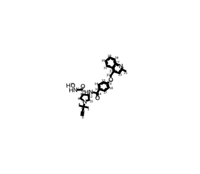 C#CC(C)(C)N1C[C@H](C(=O)NO)[C@H](NC(=O)c2ccc(OCc3cc(C)nc4ccccc34)cc2)C1